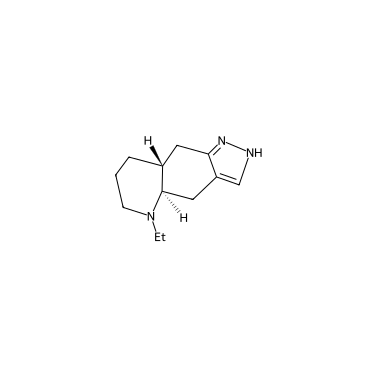 CCN1CCC[C@@H]2Cc3n[nH]cc3C[C@H]21